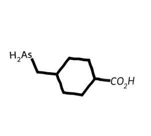 O=C(O)C1CCC(C[AsH2])CC1